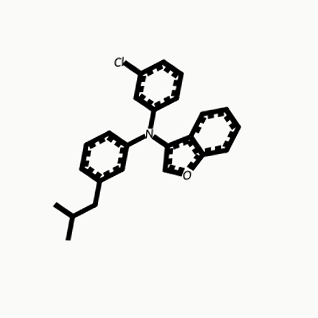 CC(C)Cc1cccc(N(c2cccc(Cl)c2)c2coc3ccccc23)c1